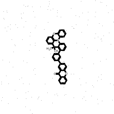 CC1(C)c2cccc3c2N(c2ccccc2O3)c2cccc(-c3cccc(-c4ccc5oc6ccccc6c(=O)c5c4)c3)c21